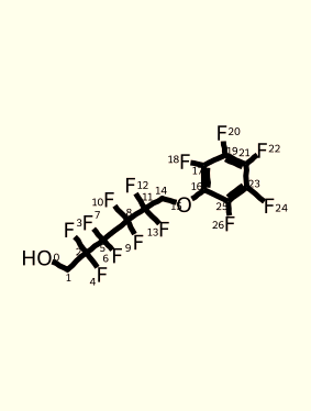 OCC(F)(F)C(F)(F)C(F)(F)C(F)(F)COc1c(F)c(F)c(F)c(F)c1F